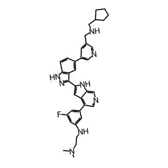 CN(C)CCNc1cc(F)cc(-c2cncc3[nH]c(-c4n[nH]c5ccc(-c6cncc(CNCC7CCCC7)c6)cc45)cc23)c1